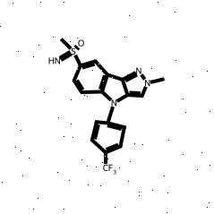 Cn1cc2c(n1)c1cc(S(C)(=N)=O)ccc1n2-c1ccc(C(F)(F)F)cc1